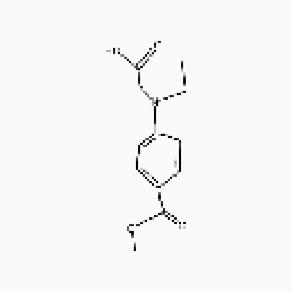 CCN(CC(=O)O)c1ccc(C(=O)OC)cc1